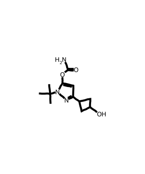 CC(C)(C)n1nc(C2CC(O)C2)cc1OC(N)=O